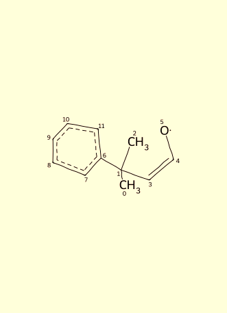 CC(C)(/C=C\[O])c1ccccc1